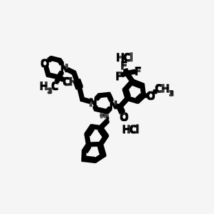 COc1cc(C(=O)N2CCN(CC#CCN3CCOCC3(C)C)C[C@H]2Cc2ccc3ccccc3c2)cc(C(F)(F)F)c1.Cl.Cl